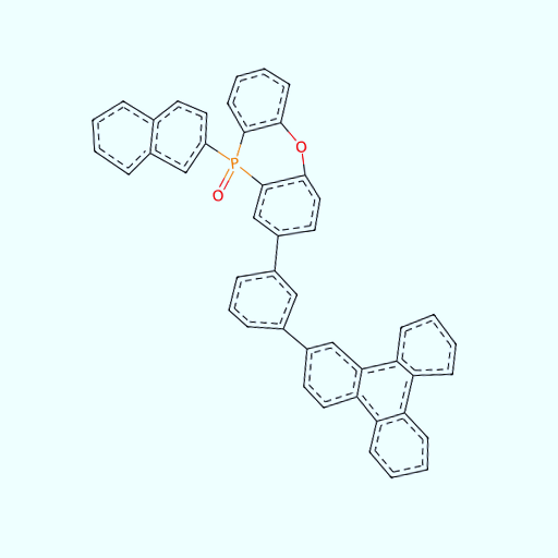 O=P1(c2ccc3ccccc3c2)c2ccccc2Oc2ccc(-c3cccc(-c4ccc5c6ccccc6c6ccccc6c5c4)c3)cc21